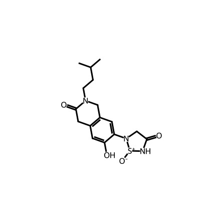 CC(C)CCN1Cc2cc(N3CC(=O)N[S+]3[O-])c(O)cc2CC1=O